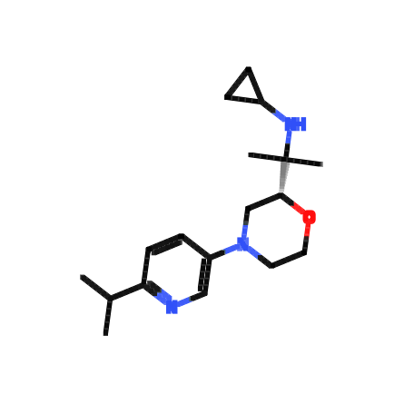 CC(C)c1ccc(N2CCO[C@@H](C(C)(C)NC3CC3)C2)cn1